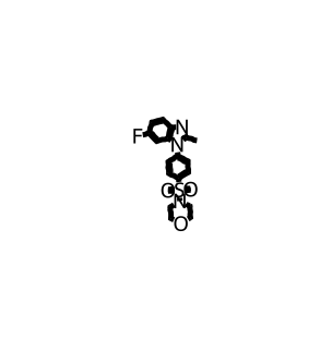 Cc1nc2ccc(F)cc2n1-c1ccc(S(=O)(=O)N2CCOCC2)cc1